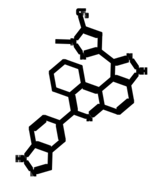 Cn1nc(-c2n[nH]c3ccc4nc(-c5ccc6[nH]ncc6c5)c5c(c4c23)CCCC5)cc1C(F)(F)F